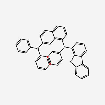 c1ccc(N(c2ccccc2)c2ccc3cccc(N(c4ccccc4)c4cccc5c4sc4ccccc45)c3c2)cc1